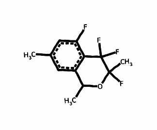 Cc1cc(F)c2c(c1)C(C)OC(C)(F)C2(F)F